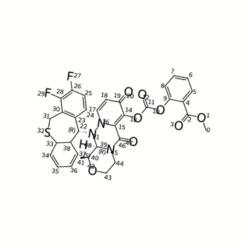 COC(=O)c1ccccc1OC(=O)Oc1c2n(ccc1=O)N([C@H]1c3ccc(F)c(F)c3CSC3C=CC=CC31)[C@@H]1[C@H](C)OCCN1C2=O